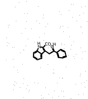 O=C(Cc1c(C(=O)O)[nH]c2ccccc12)c1ccccc1